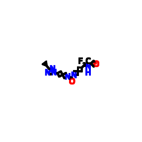 O=C(N1CC2(CC(CNC3(C(F)(F)F)COC3)C2)C1)N1CC2(CC(n3cnc(C4CC4)n3)C2)C1